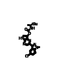 C[C@H](NC(=O)Oc1c[nH]c2ncc(-c3nn(C)c4ccc(Cl)cc34)nc12)C(C)(C)C